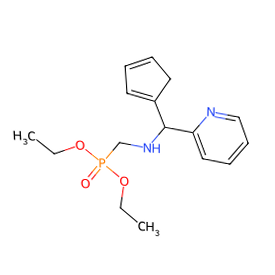 CCOP(=O)(CNC(C1=CC=CC1)c1ccccn1)OCC